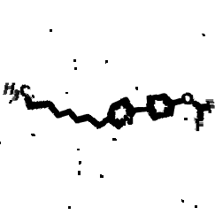 CCCCCCCCc1ccc(-c2ccc(OC(F)F)cc2)nc1